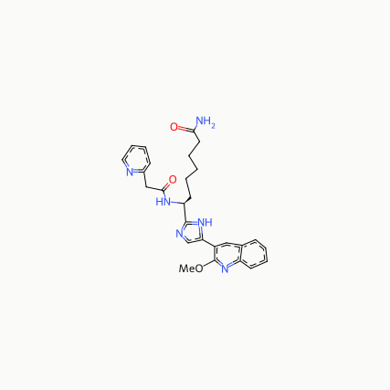 COc1nc2ccccc2cc1-c1cnc([C@H](CCCCCC(N)=O)NC(=O)Cc2ccccn2)[nH]1